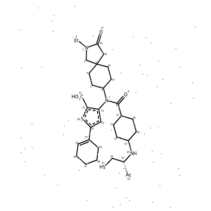 CCN1CC2(CCC(N(C(=O)C3CCC(N[C@@H](CS)C(C)=O)CC3)c3cc(C4=CCCCC4)sc3C(=O)O)CC2)CC1=O